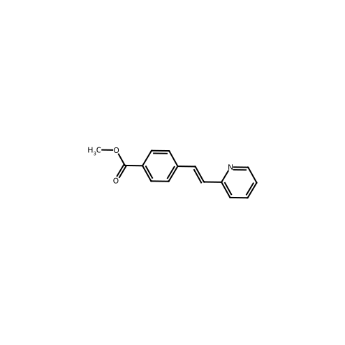 COC(=O)c1ccc(/C=C/c2ccccn2)cc1